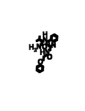 CC(C)[C@H](Nc1nc(CNC(=O)CCOc2ccccc2)nc2ccccc12)C(N)=O